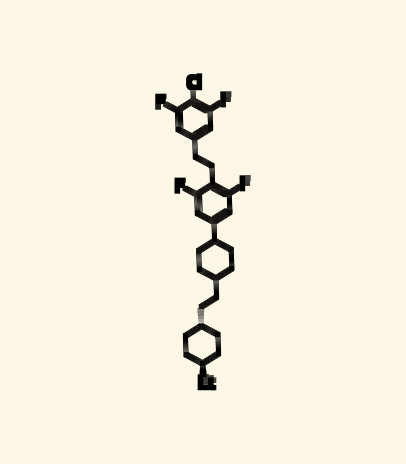 CC[C@H]1CC[C@H](CCC2CCC(c3cc(F)c(CCc4cc(F)c(Cl)c(F)c4)c(F)c3)CC2)CC1